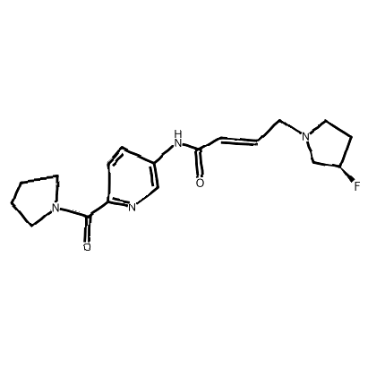 O=C(/C=C/CN1CC[C@@H](F)C1)Nc1ccc(C(=O)N2CCCC2)nc1